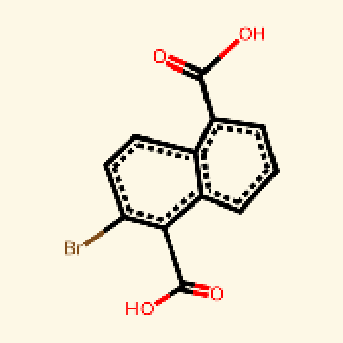 O=C(O)c1cccc2c(C(=O)O)c(Br)ccc12